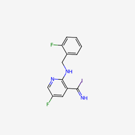 N=C(I)c1cc(F)cnc1NCc1ccccc1F